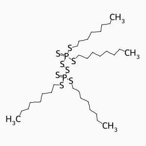 CCCCCCCCSP(=S)(SCCCCCCCC)SSP(=S)(SCCCCCCCC)SCCCCCCCC